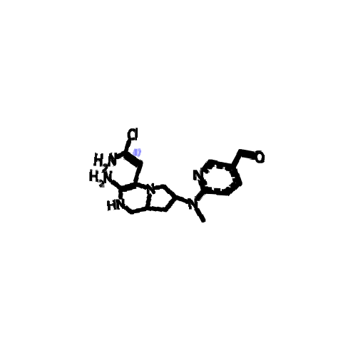 CN(c1ccc(C=O)cn1)C1CC2CNC(N)=C(/C=C(\N)Cl)N2C1